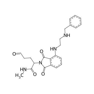 CNC(=O)C(CCC=O)N1C(=O)c2cccc(NCCNCc3ccccc3)c2C1=O